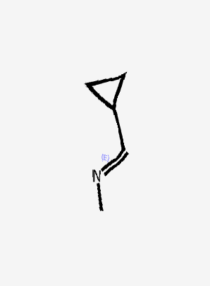 C/N=C/C1CC1